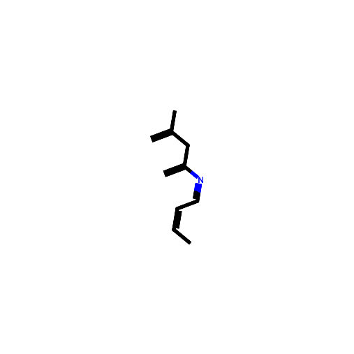 C=C(C)CC(=C)/N=C\C=C/C